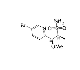 CO[C@@H](c1ccc(Br)cn1)[C@H](C)S(N)(=O)=O